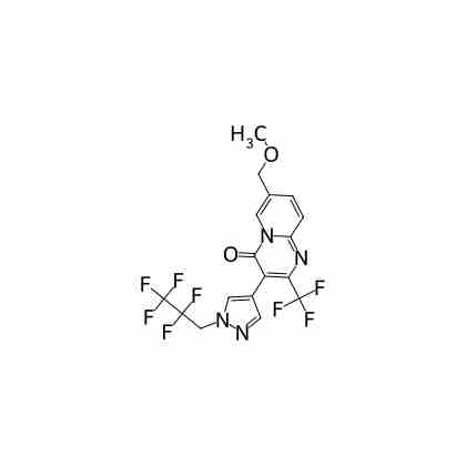 COCc1ccc2nc(C(F)(F)F)c(-c3cnn(CC(F)(F)C(F)(F)F)c3)c(=O)n2c1